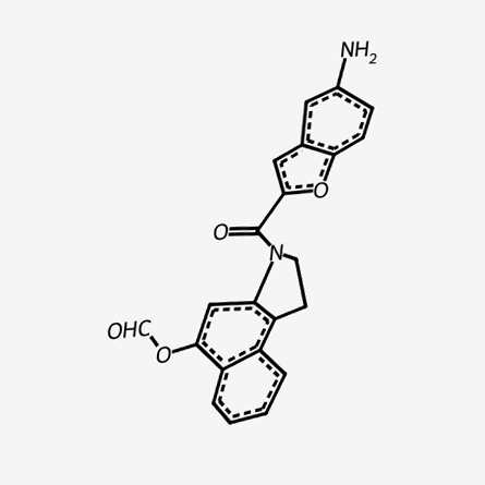 Nc1ccc2oc(C(=O)N3CCc4c3cc(OC=O)c3ccccc43)cc2c1